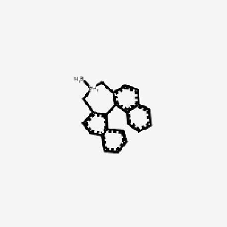 B[PH2]1Cc2ccc3ccccc3c2-c2c(ccc3ccccc23)C1